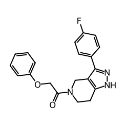 O=C(COc1ccccc1)N1CCc2[nH]nc(-c3ccc(F)cc3)c2C1